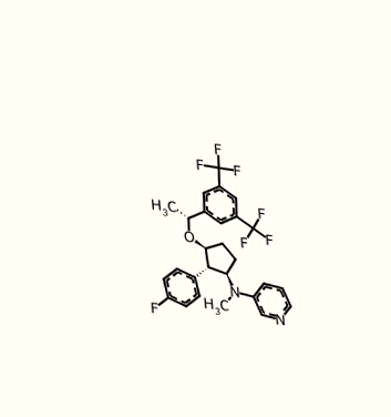 C[C@@H](O[C@H]1CC[C@@H](N(C)c2cccnc2)[C@@H]1c1ccc(F)cc1)c1cc(C(F)(F)F)cc(C(F)(F)F)c1